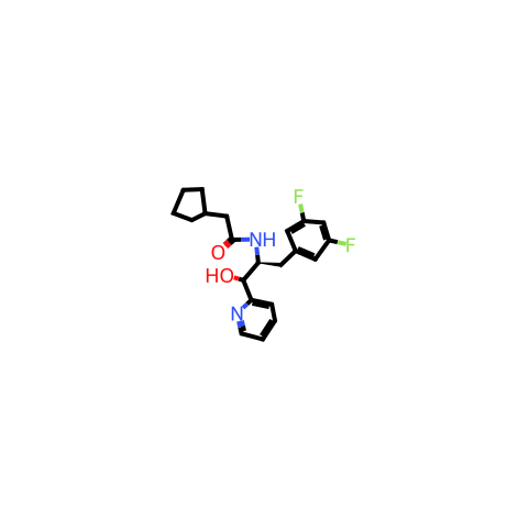 O=C(CC1CCCC1)N[C@@H](Cc1cc(F)cc(F)c1)C(O)c1ccccn1